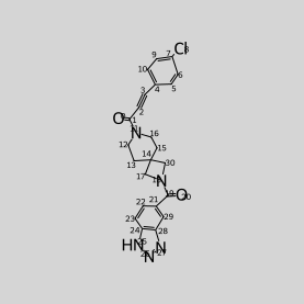 O=C(C#Cc1ccc(Cl)cc1)N1CCC2(CC1)CN(C(=O)c1ccc3[nH]nnc3c1)C2